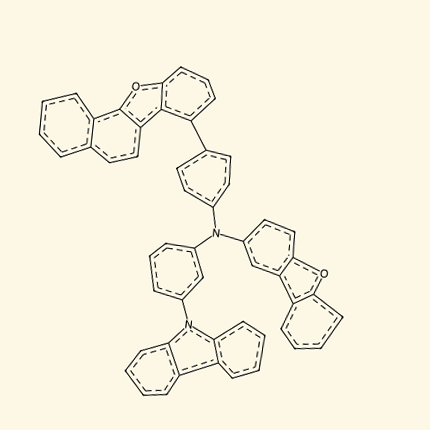 c1cc(N(c2ccc(-c3cccc4oc5c6ccccc6ccc5c34)cc2)c2ccc3oc4ccccc4c3c2)cc(-n2c3ccccc3c3ccccc32)c1